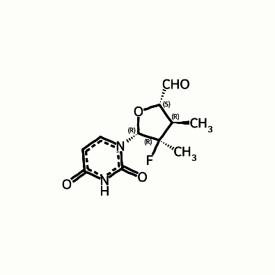 C[C@@H]1[C@@H](C=O)O[C@@H](n2ccc(=O)[nH]c2=O)[C@]1(C)F